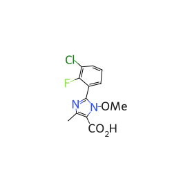 COn1c(-c2cccc(Cl)c2F)nc(C)c1C(=O)O